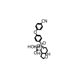 N#Cc1ccc(Oc2ccc(S(=O)(=O)N3CC[C@H]4OCC[C@H]4[C@H]3C(=O)NO)cc2)cc1